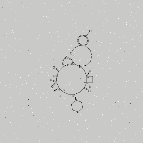 C[C@@H]1[C@@H](C)C[C@H](N2CCOCC2)CC(=O)[C@@H]2CC[C@H]2CN2CCCCc3cc(Cl)ccc3COc3ccc(cc32)C(=O)NS1(=O)=O